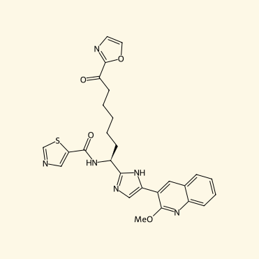 COc1nc2ccccc2cc1-c1cnc([C@H](CCCCCC(=O)c2ncco2)NC(=O)c2cncs2)[nH]1